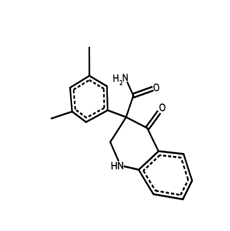 Cc1cc(C)cc(C2(C(N)=O)CNc3ccccc3C2=O)c1